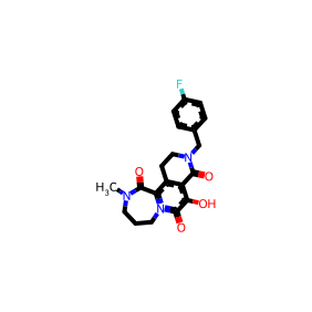 CN1CCCn2c(c3c(c(O)c2=O)C(=O)N(Cc2ccc(F)cc2)CC3)C1=O